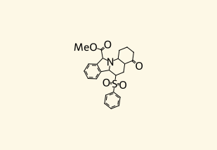 COC(=O)C1c2ccccc2C2C(S(=O)(=O)c3ccccc3)CC3C(=O)CCCC3N12